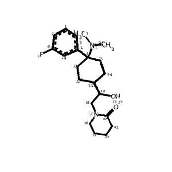 CN(C)C1(c2cccc(F)c2)CCC(C(O)CN2CCCCC2=O)CC1